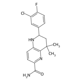 CC1(C)CC(c2ccc(F)c(Cl)c2)Nc2ccc(C(N)=O)nc21